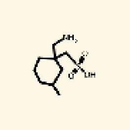 CC1CCCC(CN)(CS(=O)(=O)O)C1